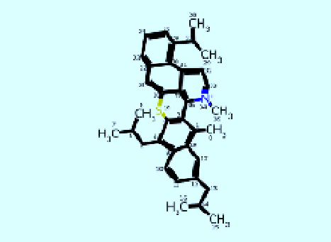 Cc1c2c(c(CC(C)C)c3ccc(CC(C)C)cc13)Sc1cc3cccc(C(C)C)c3c3cc[n+](C)c-2c13